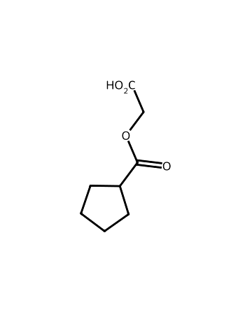 O=C(O)COC(=O)C1CCCC1